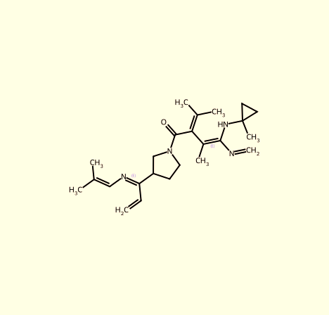 C=C/C(=N\C=C(C)C)C1CCN(C(=O)C(=C(C)C)/C(C)=C(/N=C)NC2(C)CC2)C1